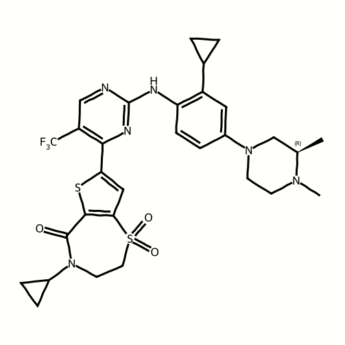 C[C@@H]1CN(c2ccc(Nc3ncc(C(F)(F)F)c(-c4cc5c(s4)C(=O)N(C4CC4)CCS5(=O)=O)n3)c(C3CC3)c2)CCN1C